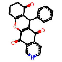 O=C1CCCC2=C1C(c1ccccc1)C1=C(O2)C(=O)c2cnccc2C1=O